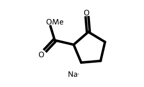 COC(=O)C1CCCC1=O.[Na]